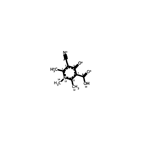 Cc1c(C#N)c(=O)c(C(=O)O)c(C)n1C